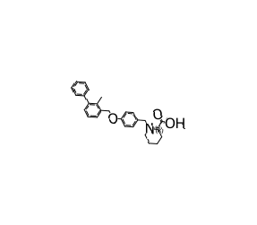 Cc1c(COc2ccc(CN3CCCC[C@@H]3C(=O)O)cc2)cccc1-c1ccccc1